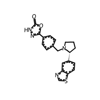 O=c1[nH]nc(-c2ccc(CN3CCC[C@@H]3c3ccc4scnc4c3)cc2)o1